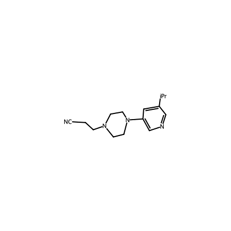 CC(C)c1cncc(N2CCN(CCC#N)CC2)c1